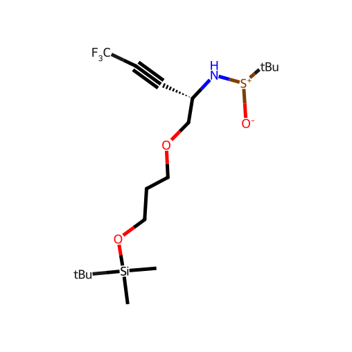 CC(C)(C)[S+]([O-])N[C@@H](C#CC(F)(F)F)COCCCO[Si](C)(C)C(C)(C)C